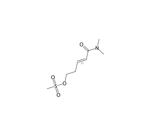 CN(C)C(=O)/C=C/CCOS(C)(=O)=O